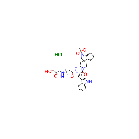 CC(C)(CC(=O)N[C@H](Cc1c[nH]c2ccccc12)C(=O)N1CCC2(CC1)CN(S(C)(=O)=O)c1ccccc12)NC[C@@H](O)CO.Cl